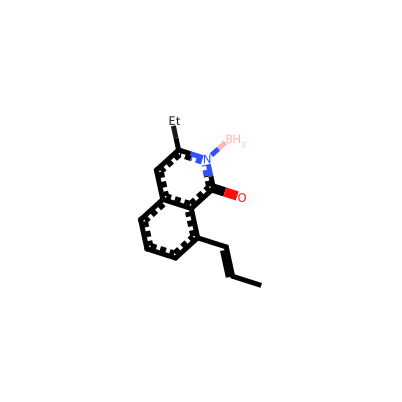 Bn1c(CC)cc2cccc(/C=C/C)c2c1=O